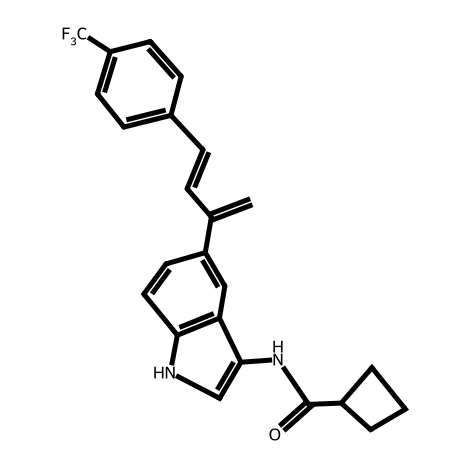 C=C(/C=C/c1ccc(C(F)(F)F)cc1)c1ccc2[nH]cc(NC(=O)C3CCC3)c2c1